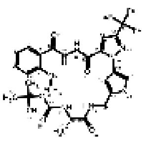 COc1ccccc1C(=O)NNC(=O)c1cc(C(F)(F)F)nn1-c1csc(CNC(=O)[C@H](C)NC(=O)OC(C)(C)C)c1